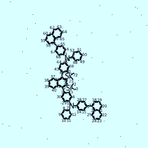 C[Si]1(C)c2cc(N(c3ccccc3)c3ccc(-c4cccc5ccccc45)cc3)ccc2-c2c1c1c(c3ccccc23)-c2ccc(N(c3ccccc3)c3ccc(-c4cccc5ccccc45)cc3)cc2[Si]1(C)C